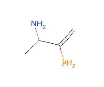 C=C(P)C(C)N